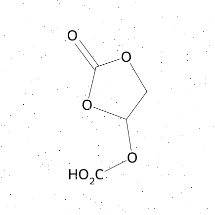 O=C(O)OC1COC(=O)O1